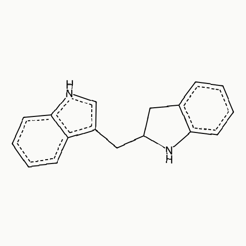 c1ccc2c(c1)CC(Cc1c[nH]c3ccccc13)N2